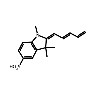 C=C/C=C/C=C1/N(C)c2ccc(S(=O)(=O)O)cc2C1(C)C